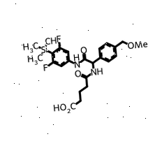 COCc1ccc(C(NC(=O)CCCC(=O)O)C(=O)Nc2cc(F)c([Si](C)(C)C)c(F)c2)cc1